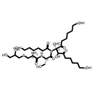 CCCCCCCCCCCCCCCC(=O)C(O)[C@]([C]=O)(C(=O)CCCCCCCCCCCCCCC)N(C(=O)CCCCCCCCCCCCCCC)C(=O)[C@H](CO)NC(=O)[C@@H](N)CSCC(O)CO